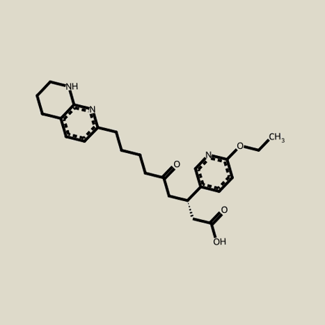 CCOc1ccc([C@H](CC(=O)O)CC(=O)CCCCc2ccc3c(n2)NCCC3)cn1